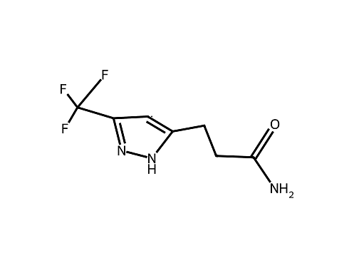 NC(=O)CCc1[c]c(C(F)(F)F)n[nH]1